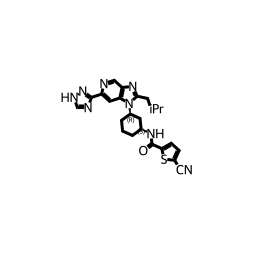 CC(C)Cc1nc2cnc(-c3nc[nH]n3)cc2n1[C@@H]1CCC[C@H](NC(=O)c2ccc(C#N)s2)C1